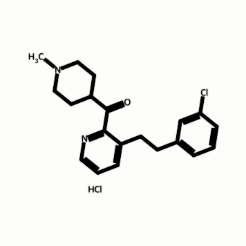 CN1CCC(C(=O)c2ncccc2CCc2cccc(Cl)c2)CC1.Cl